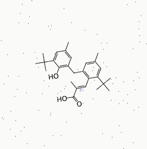 C/C(=C\c1c(Cc2cc(C)cc(C(C)(C)C)c2O)cc(C)cc1C(C)(C)C)C(=O)O